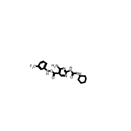 Nc1nc(NC(=O)NC2CCCCC2)ncc1C(=O)ONc1cccc(C(F)(F)F)c1